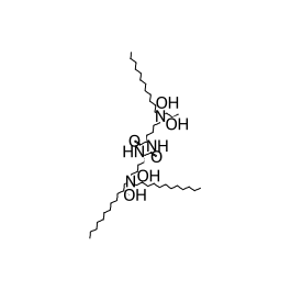 CCCCCCCCCC[C@@H](O)CN(CCCC[C@@H]1NC(=O)[C@@H](CCCCN(C[C@H](O)CCCCCCCCCC)C[C@@H](C)O)NC1=O)C[C@H](O)CCCCCCCCCC